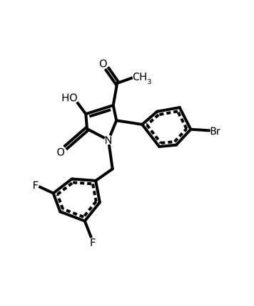 CC(=O)C1=C(O)C(=O)N(Cc2cc(F)cc(F)c2)C1c1ccc(Br)cc1